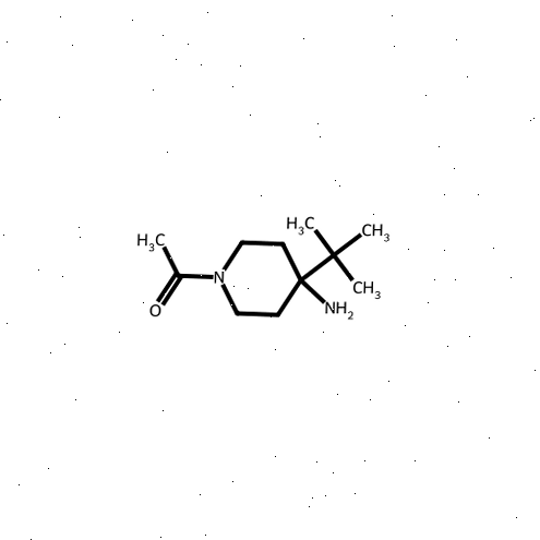 CC(=O)N1CCC(N)(C(C)(C)C)CC1